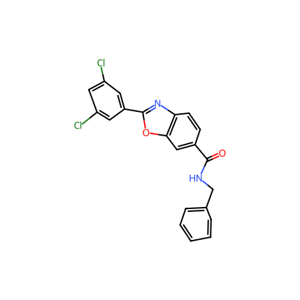 O=C(NCc1ccccc1)c1ccc2nc(-c3cc(Cl)cc(Cl)c3)oc2c1